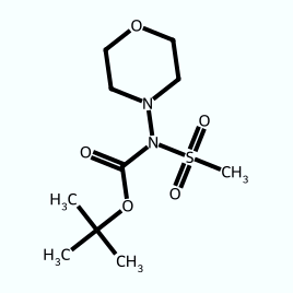 CC(C)(C)OC(=O)N(N1CCOCC1)S(C)(=O)=O